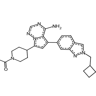 CC(=O)N1CCC(c2cc(-c3ccc4cn(CC5CCC5)nc4c3)c3c(N)ncnn23)CC1